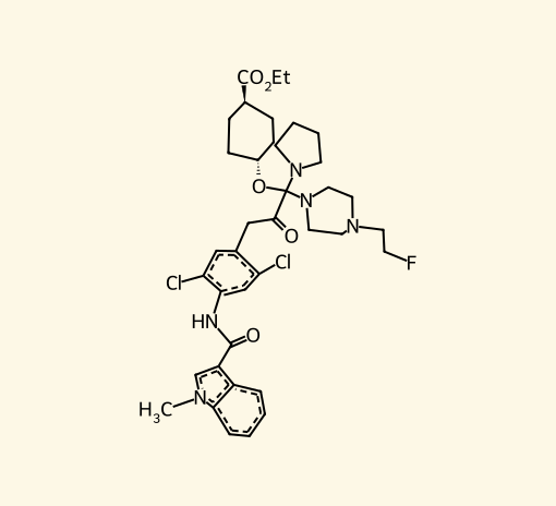 CCOC(=O)[C@H]1CC[C@H](OC(C(=O)Cc2cc(Cl)c(NC(=O)c3cn(C)c4ccccc34)cc2Cl)(N2CCCC2)N2CCN(CCF)CC2)CC1